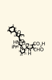 Cc1oc(-c2ccccc2)cc1C(=O)N[C@H](C(=O)N1CCC[C@H]1C(=O)N[C@H](C=O)CC(=O)O)C(C)C